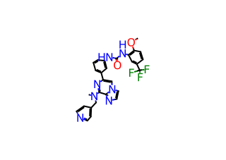 COc1ccc(C(F)(F)F)cc1NC(=O)Nc1cccc(-c2cn3ccnc3c(N(C)Cc3ccncc3)n2)c1